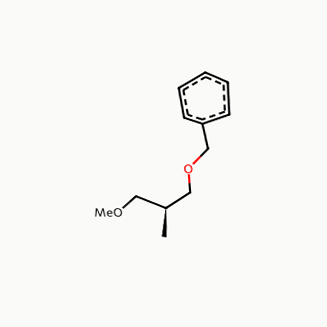 COC[C@H](C)COCc1ccccc1